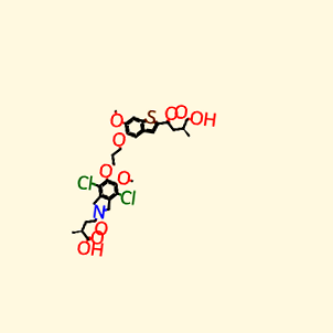 COc1cc2sc(C(=O)C[C@H](C)C(=O)O)cc2cc1OCCCOc1c(Cl)c2c(c(Cl)c1OC)CN(C(=O)C[C@H](C)C(=O)O)C2